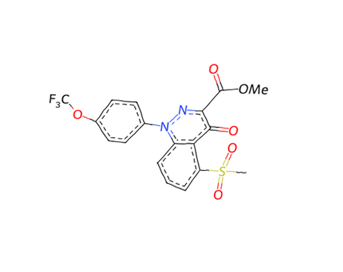 COC(=O)c1nn(-c2ccc(OC(F)(F)F)cc2)c2cccc(S(C)(=O)=O)c2c1=O